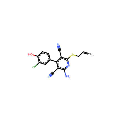 C=CCSc1nc(N)c(C#N)c(-c2ccc(O)c(Cl)c2)c1C#N